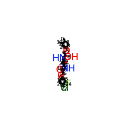 Cc1ccc(OCC(O)NC23CC(NC(=O)COc4ccc(Cl)c(F)c4)(C2)C3)cc1C